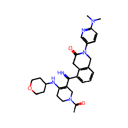 CC(=O)N1CCC(NC2CCOCC2)=C(C(=N)c2cccc3c2CC(=O)N(c2ccc(N(C)C)nc2)C3)C1